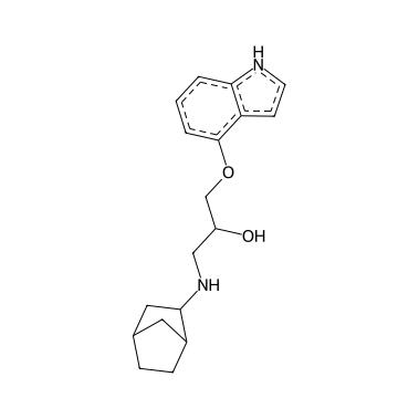 OC(CNC1CC2CCC1C2)COc1cccc2[nH]ccc12